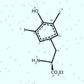 CCOC(=O)[C@@H](N)Cc1cc(I)c(O)c(I)c1